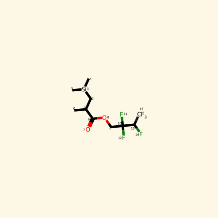 CC(C[Si](C)C)C(=O)OCC(F)(F)C(F)C(F)(F)F